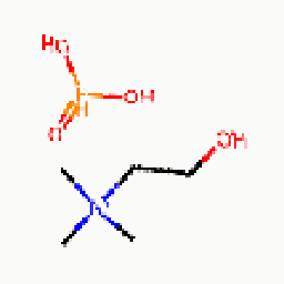 C[N+](C)(C)CCO.O=[PH](O)O